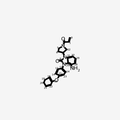 C=CC(=O)N1CCC(n2c(=O)n(-c3ccc(OC4=CCCC=C4)cc3)c3c(N)cccc32)C1